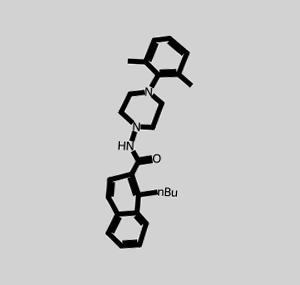 CCCCc1c(C(=O)NN2CCN(c3c(C)cccc3C)CC2)ccc2ccccc12